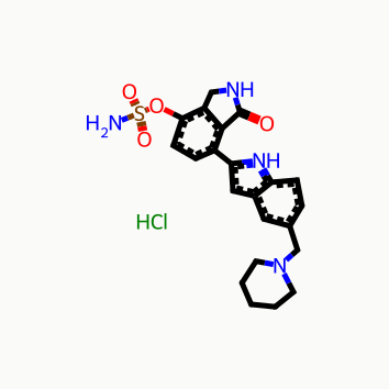 Cl.NS(=O)(=O)Oc1ccc(-c2cc3cc(CN4CCCCC4)ccc3[nH]2)c2c1CNC2=O